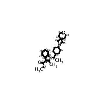 COC(=O)c1c(C)n([C@H](C)C2CCC(N3CC4(CCOCC4)C3)CC2)c2ccccc12